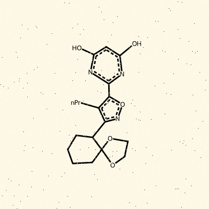 CCCc1c(C2CCCCC23OCCO3)noc1-c1nc(O)cc(O)n1